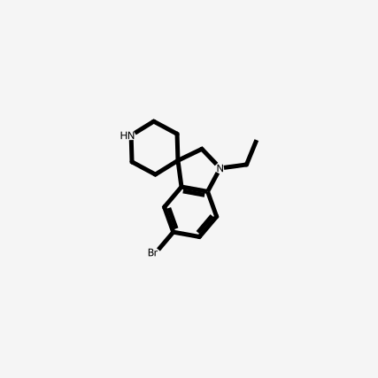 CCN1CC2(CCNCC2)c2cc(Br)ccc21